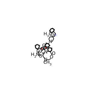 COC1(/C=C\c2ccccc2)CCN(c2ccc(C(=O)N3c4c(cccc4[N+](=O)[O-])C(=O)OCCN(C)CC[C@@H]3C(Sc3ccccc3)S(N)(=O)=O)cc2)CC1